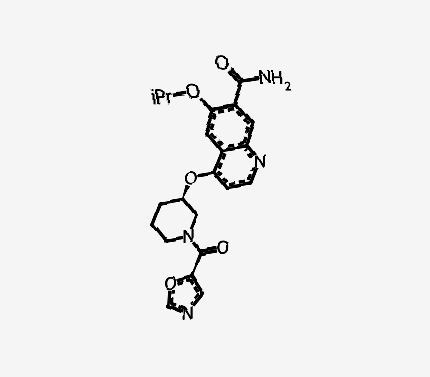 CC(C)Oc1cc2c(O[C@@H]3CCCN(C(=O)c4cnco4)C3)ccnc2cc1C(N)=O